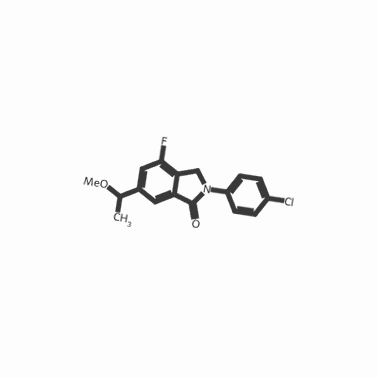 COC(C)c1cc(F)c2c(c1)C(=O)N(c1ccc(Cl)cc1)C2